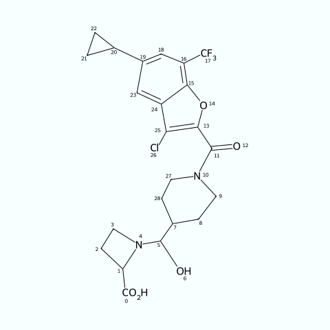 O=C(O)C1CCN1C(O)C1CCN(C(=O)c2oc3c(C(F)(F)F)cc(C4CC4)cc3c2Cl)CC1